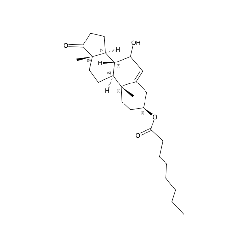 CCCCCCCC(=O)O[C@H]1CC[C@@]2(C)C(=CC(O)[C@@H]3[C@@H]2CC[C@]2(C)C(=O)CC[C@@H]32)C1